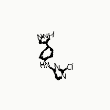 Clc1nccc(Nc2ccc(-c3cn[nH]c3)cc2)n1